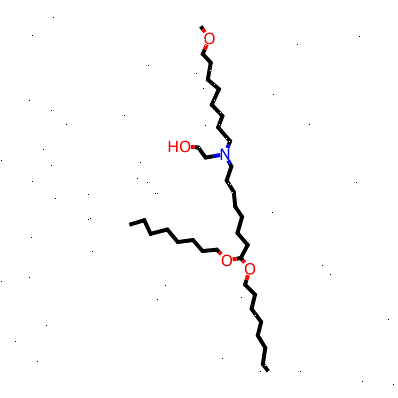 CCCCCCCCOC(CCCCCCCN(CCO)CCCCCCCCOC)OCCCCCCCC